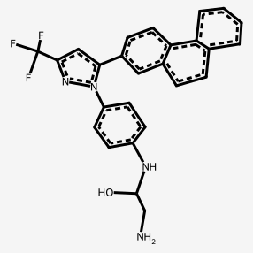 NCC(O)Nc1ccc(-n2nc(C(F)(F)F)cc2-c2ccc3c(ccc4ccccc43)c2)cc1